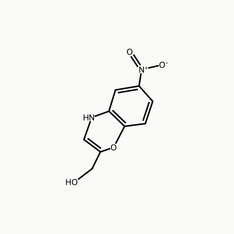 O=[N+]([O-])c1ccc2c(c1)NC=C(CO)O2